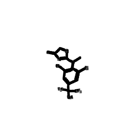 CN(C1=NC(=O)CO1)c1c(Cl)cc(C(O)(C(F)(F)F)C(F)(F)F)cc1Cl